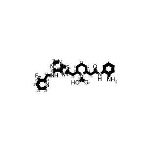 Nc1ccccc1NC(=O)CC1CCCC(Cc2nc3c(NCc4ncccc4F)ncnc3s2)N1C(=O)O